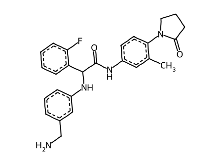 Cc1cc(NC(=O)C(Nc2cccc(CN)c2)c2ccccc2F)ccc1N1CCCC1=O